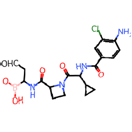 Nc1ccc(C(=O)NC(C(=O)N2CCC2C(=O)NC(CC=O)B(O)O)C2CC2)cc1Cl